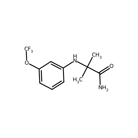 CC(C)(Nc1cccc(OC(F)(F)F)c1)C(N)=O